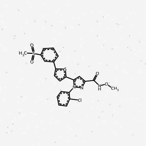 CONC(=O)c1cc(-c2ccc(-c3cccc(S(C)(=O)=O)c3)s2)n(-c2ccccc2Cl)n1